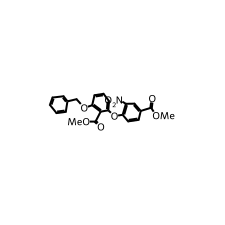 COC(=O)c1ccc(Oc2cccc(OCc3ccccc3)c2C(=O)OC)c([N+](=O)[O-])c1